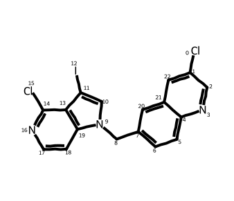 Clc1cnc2ccc(Cn3cc(I)c4c(Cl)nccc43)cc2c1